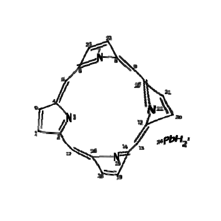 C1=CC2=NC1=CC1=NC(=CC3=NC(=CC4=NC(=C2)C=C4)C=C3)C=C1.[PbH2]